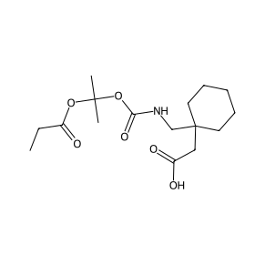 CCC(=O)OC(C)(C)OC(=O)NCC1(CC(=O)O)CCCCC1